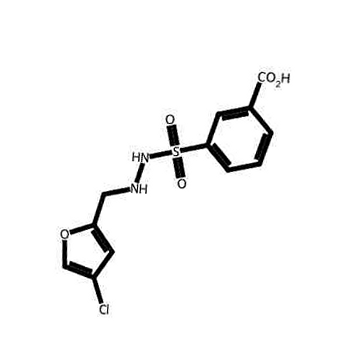 O=C(O)c1cccc(S(=O)(=O)NNCc2cc(Cl)co2)c1